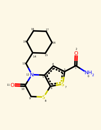 NC(=O)c1cc2c(s1)SCC(=O)N2CC1CCCCC1